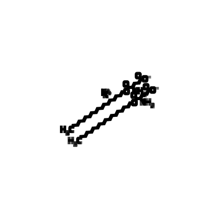 CCCCCCCCCCCCCCCCCCOC(=O)C(N)CCC(=O)[O-].CCCCCCCCCCCCCCCCCCOC(=O)C(N)CCC(=O)[O-].[K+].[K+]